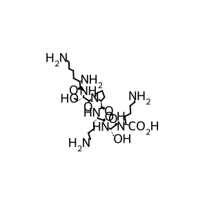 NCCCC[C@H](NC(=O)[C@H](CO)NC(=O)[C@H](CCCCN)NC(=O)[C@@H]1CCCN1C(=O)[C@H](CO)NC(=O)[C@@H](N)CCCCN)C(=O)O